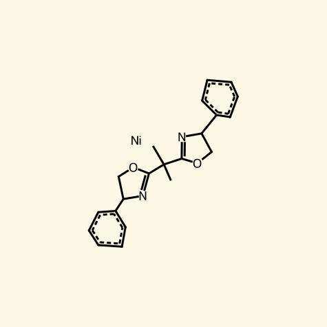 CC(C)(C1=NC(c2ccccc2)CO1)C1=NC(c2ccccc2)CO1.[Ni]